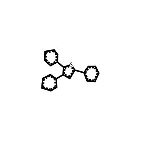 c1ccc(-c2cc(-c3ccccc3)c(-c3ccccc3)s2)cc1